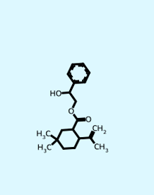 C=C(C)C1CCC(C)(C)CC1C(=O)OCC(O)c1ccccc1